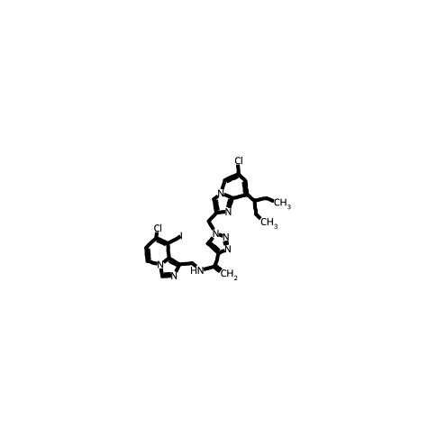 C=C(NCc1ncn2ccc(Cl)c(I)c12)c1cn(Cc2cn3cc(Cl)cc(C(CC)CC)c3n2)nn1